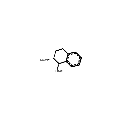 CO[C@@H]1c2ccccc2CC[C@H]1OC